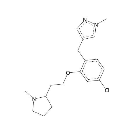 CN1CCCC1CCOc1cc(Cl)ccc1Cc1cnn(C)c1